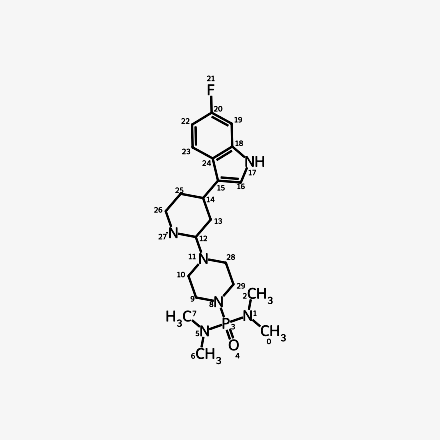 CN(C)P(=O)(N(C)C)N1CCN(C2CC(c3c[nH]c4cc(F)ccc34)CC[N]2)CC1